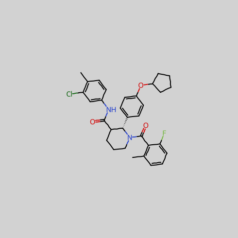 Cc1ccc(NC(=O)C2CCCN(C(=O)c3c(C)cccc3F)[C@H]2c2ccc(OC3CCCC3)cc2)cc1Cl